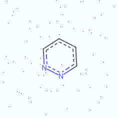 [c]1cccnn1